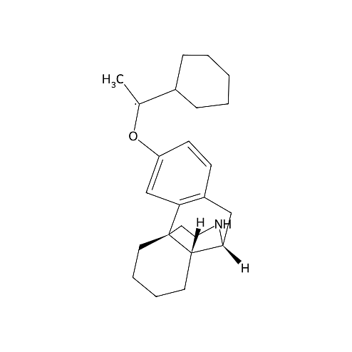 C[C](Oc1ccc2c(c1)[C@@]13CCCC[C@H]1[C@@H](C2)NCC3)C1CCCCC1